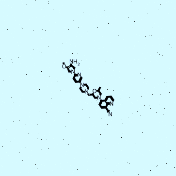 COC1CN(c2ccc(N3CCN(CC4CN(c5ccc(C#N)c6ncccc56)CC(C)O4)CC3)cn2)CC1N